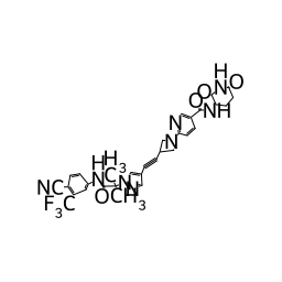 CC(C)(C(=O)Nc1ccc(C#N)c(C(F)(F)F)c1)n1cc(C#CC2CN(c3ccc(C(=O)NC4CCC(=O)NC4=O)cn3)C2)cn1